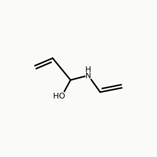 C=CNC(O)C=C